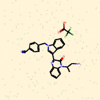 CC(CN)n1c(=O)c(-c2cn(Cc3ccc(C#N)cc3)c3ccccc23)nc2ccccc21.O=C(O)C(F)(F)F